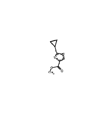 COC(=O)c1cnc(C2CC2)s1